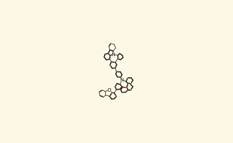 C1=CC2Oc3c(-c4ccc(N(c5ccc(-c6ccc7c(c6)-c6ccccc6-n6c8c(c9cccc-7c96)C=CCC8)cc5)c5cccc6ccc7ccccc7c56)cc4)cccc3C2C=C1